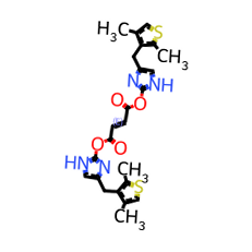 Cc1csc(C)c1Cc1c[nH]c(OC(=O)/C=C/C(=O)Oc2nc(Cc3c(C)csc3C)c[nH]2)n1